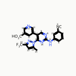 [C-]#[N+]c1cccc(Nc2ncc(-c3cncc(C(=O)O)c3)c(-n3nc(C(F)(F)F)cc3C)n2)c1